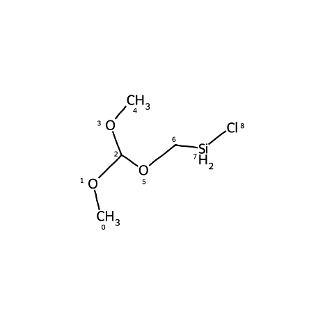 COC(OC)OC[SiH2]Cl